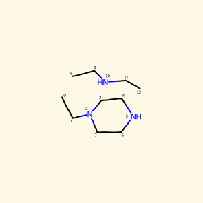 CCN1CCNCC1.CCNCC